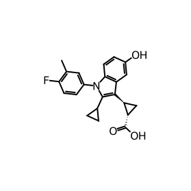 Cc1cc(-n2c(C3CC3)c([C@H]3C[C@@H]3C(=O)O)c3cc(O)ccc32)ccc1F